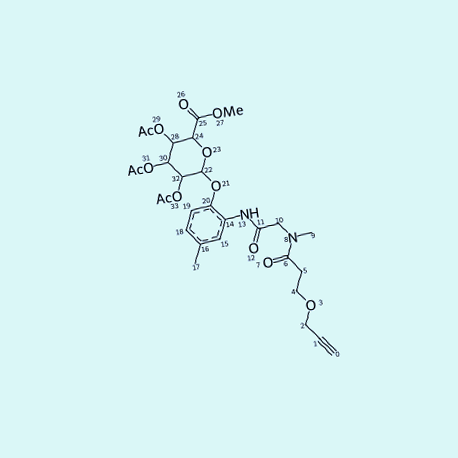 C#CCOCCC(=O)N(C)CC(=O)Nc1cc(C)ccc1OC1OC(C(=O)OC)C(OC(C)=O)C(OC(C)=O)C1OC(C)=O